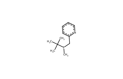 CP(Cc1ccccn1)C(C)(C)C